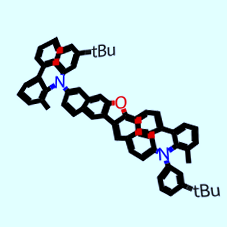 Cc1cccc(-c2ccccc2)c1N(c1cccc(C(C)(C)C)c1)c1ccc2cc3c(cc2c1)oc1cc2cc(N(c4cccc(C(C)(C)C)c4)c4c(C)cccc4-c4ccccc4)ccc2cc13